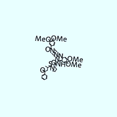 COc1ccc(C(=O)N2CCN(c3nc(NC(=O)[C@H]4CCCN4C(=S)C(C)CC(=O)c4ccccc4)c4cc(OC)c(OC)cc4n3)CC2)cc1OC